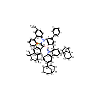 CC(C)(C)c1ccc(N2c3cc(-c4ccccc4)cc4c3B(c3c2sc2cc5c(cc32)C(C)(C)CCC5(C)C)n2c3ccc(C56CCCC(CCC5)C6)cc3c3cc(C56CCCC(CCC5)C6)cc-4c32)c(-c2ccccc2)c1